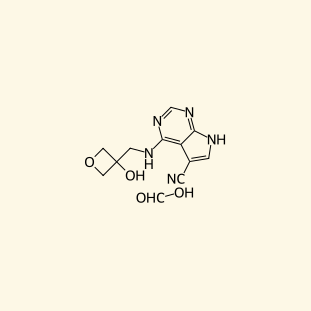 N#Cc1c[nH]c2ncnc(NCC3(O)COC3)c12.O=CO